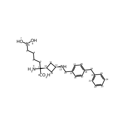 NC(CCCCB(O)O)(C(=O)O)[C@H]1C[C@@H](NCc2ccc(Cc3ccccc3)cc2)C1